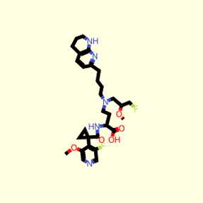 COc1cncc(F)c1C1(C(=O)NC(CCN(CCCCc2ccc3c(n2)NCCC3)CC(CF)OC)C(=O)O)CC1